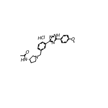 COc1ccc(-c2nc(-c3cccc(CN4CC[C@H](NC(C)=O)C4)c3)n[nH]2)cc1.Cl